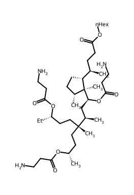 CCCCCCOC(=O)CC[C@@H](C)[C@H]1CC[C@@H](C)[C@]1(C)[C@H](C[C@@H](C)[C@@](C)(CC[C@H](CC)OC(=O)CCN)CC[C@H](C)OC(=O)CCN)OC(=O)CCN